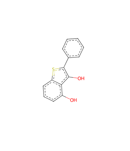 Oc1cccc2sc(-c3ccccc3)c(O)c12